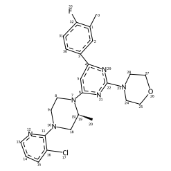 Cc1cc(-c2cc(N3CCN(c4ncccc4Cl)C[C@@H]3C)nc(N3CCOCC3)n2)ccc1F